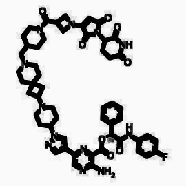 Nc1ncc(-c2cnn(C3CCN(C4CC5(CCN(CC6CCN(C(=O)C7CN(C8=CC(=O)N(C9CCC(=O)NC9=O)C8=O)C7)CC6)CC5)C4)CC3)c2)nc1C(=O)O[C@@H](C(=O)Nc1ccc(F)cc1)c1ccccc1